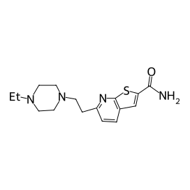 CCN1CCN(CCc2ccc3cc(C(N)=O)sc3n2)CC1